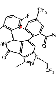 Cc1nn(CC(F)(F)F)c2cc(-c3c(F)cc(C(F)(F)F)cc3C(N)=O)c3c(c12)C(=O)NC3c1cc(F)ccc1Cl